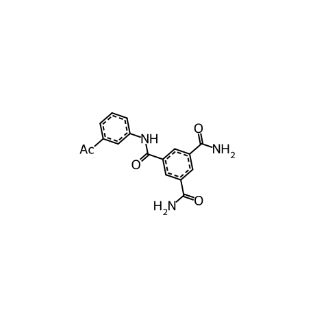 CC(=O)c1cccc(NC(=O)c2cc(C(N)=O)cc(C(N)=O)c2)c1